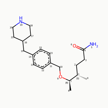 C[C@@H](CCC(N)=O)[C@@H](C)OCc1ccc(CC2CCNCC2)cc1